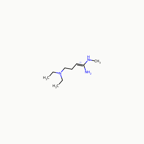 CCN(CC)CC/C=C(\N)NC